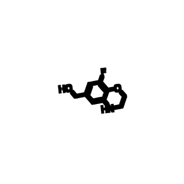 OCc1cc(F)c2c(c1)NCCO2